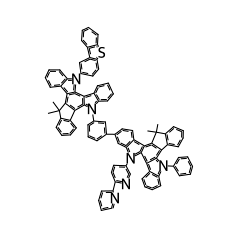 CC1(C)c2ccccc2-c2c1c1c3ccccc3n(-c3ccc4sc5ccccc5c4c3)c1c1c3ccccc3n(-c3cccc(-c4ccc5c6c7c(c8c(c9ccccc9n8-c8ccccc8)c6n(-c6ccc(-c8ccccn8)nc6)c5c4)-c4ccccc4C7(C)C)c3)c21